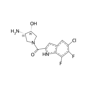 N[C@H]1CN(C(=O)c2cc3cc(Cl)c(F)c(F)c3[nH]2)C[C@H]1O